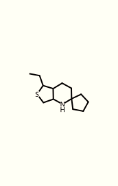 CCC1SCC2NC3(CCCC3)CCC21